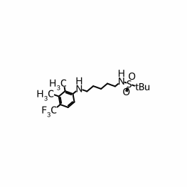 Cc1c(NCCCCCNS(=O)(=O)C(C)(C)C)ccc(C(F)(F)F)c1C